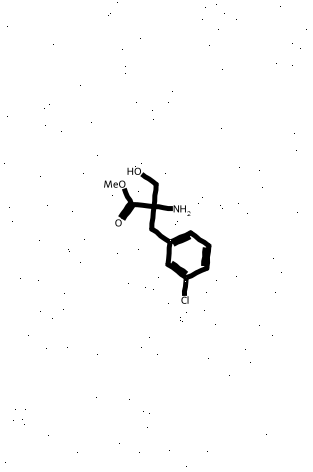 COC(=O)C(N)(CO)Cc1cccc(Cl)c1